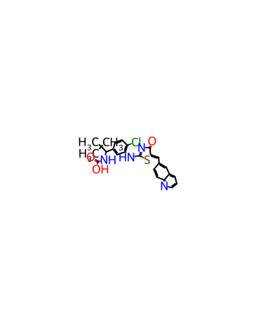 CC(C)(C)C(NC(=O)O)c1ccc(Cl)c(NC2=NC(=O)/C(=C/c3ccc4ncccc4c3)S2)c1